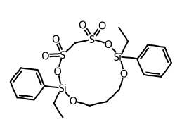 CC[Si]1(c2ccccc2)OCCCO[Si](CC)(c2ccccc2)OS(=O)(=O)CS(=O)(=O)O1